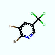 ClC(Cl)(Cl)c1cnc(Br)c(Br)c1